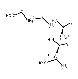 C[C@H](N)C(=O)O.C[C@H](N)C(=O)O.NCC(=O)O.NCC(=O)O.NCC(=O)O